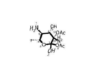 CC(=O)OC1(O)O[C@H](C)[C@@H](N)[C@H](O)[C@]1(N)OC(C)=O